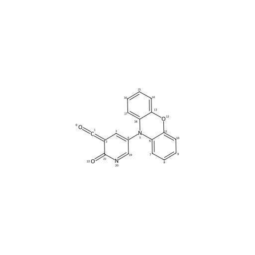 O=C=C1C=C(N2c3ccccc3Oc3ccccc32)C=NC1=O